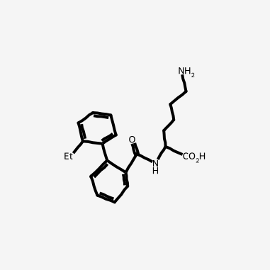 CCc1ccccc1-c1ccccc1C(=O)NC(CCCCN)C(=O)O